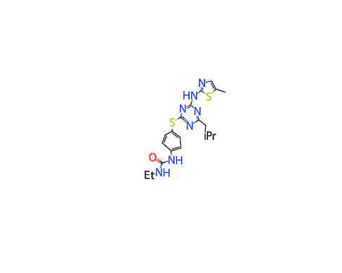 CCNC(=O)Nc1ccc(Sc2nc(CC(C)C)nc(Nc3ncc(C)s3)n2)cc1